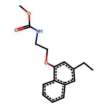 CCc1cc(OCCNC(=O)OC)c2ccccc2c1